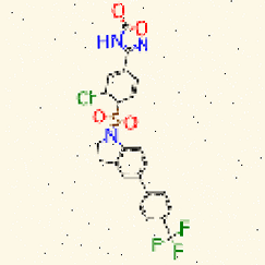 O=c1[nH]c(C2=CC(Cl)C(S(=O)(=O)N3CCc4cc(-c5ccc(C(F)(F)F)cc5)ccc43)C=C2)no1